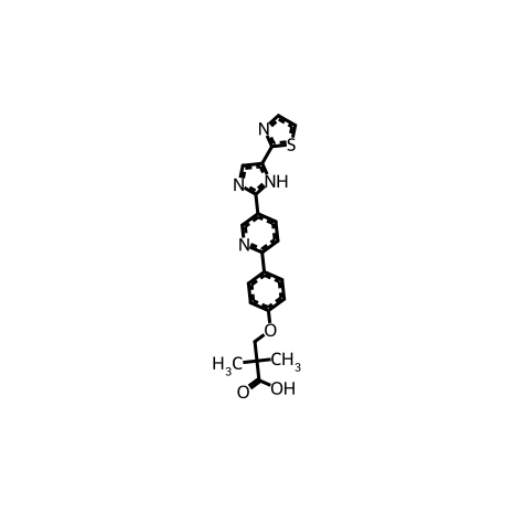 CC(C)(COc1ccc(-c2ccc(-c3ncc(-c4nccs4)[nH]3)cn2)cc1)C(=O)O